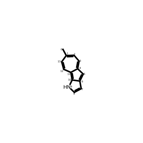 Cc1ccc2cc3cc[nH]c3c-2cc1